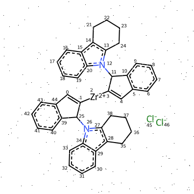 C1=[C]([Zr+2][C]2=Cc3ccccc3C2n2c3c(c4ccccc42)CCCC3)C(n2c3c(c4ccccc42)CCCC3)c2ccccc21.[Cl-].[Cl-]